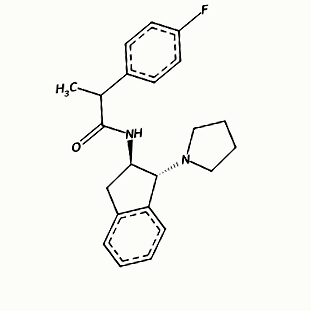 CC(C(=O)N[C@@H]1Cc2ccccc2[C@H]1N1CCCC1)c1ccc(F)cc1